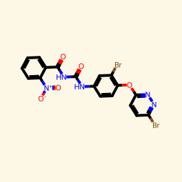 O=C(NC(=O)c1ccccc1[N+](=O)[O-])Nc1ccc(Oc2ccc(Br)nn2)c(Br)c1